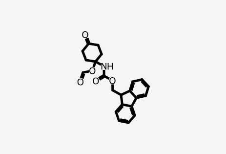 O=COC1(NC(=O)OCC2c3ccccc3-c3ccccc32)CCC(=O)CC1